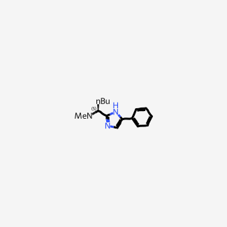 CCCC[C@H](NC)c1ncc(-c2ccccc2)[nH]1